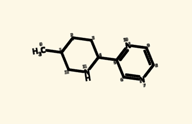 CC1[CH]CC(c2cnccn2)NC1